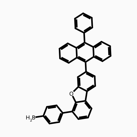 Bc1ccc(-c2cccc3c2oc2cc(-c4c5ccccc5c(-c5ccccc5)c5ccccc45)ccc23)cc1